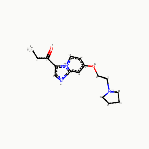 CCC(=O)c1cnc2cc(OCCN3CCCC3)ccn12